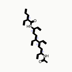 C=C/C=C(\C=C)C(=O)N/C(C=C)=C/C=C(C=C)/C(C=C)=C/C=C(\C=C)NC(C)=O